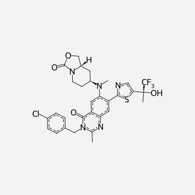 Cc1nc2cc(-c3ncc([C@@](C)(O)C(F)(F)F)s3)c(N(C)[C@H]3CCN4C(=O)OC[C@@H]4C3)cc2c(=O)n1Cc1ccc(Cl)cc1